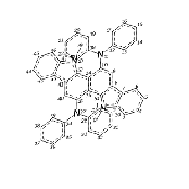 Cn1c2ccccc2c2cc(N(c3ccccc3)c3ccccc3)c3c(c(N(c4ccccc4)c4ccccc4)cc4c5ccccc5n(C)c43)c21